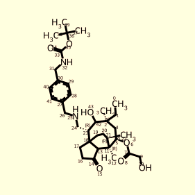 CC[C@@]1(C)C[C@@H](OC(=O)CO)[C@@]2(C)C3C(=O)CCC3(CC[C@H]2C)[C@H](CNCc2ccc(CNC(=O)OC(C)(C)C)cc2)C1O